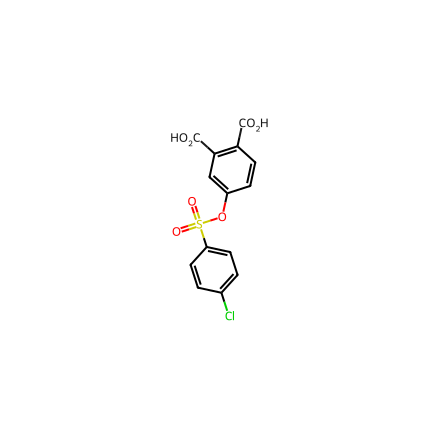 O=C(O)c1ccc(OS(=O)(=O)c2ccc(Cl)cc2)cc1C(=O)O